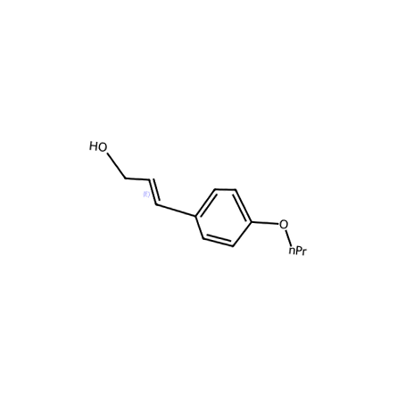 CCCOc1ccc(/C=C/CO)cc1